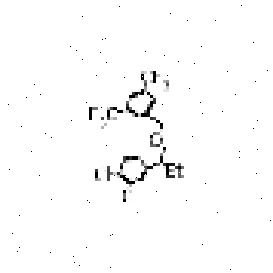 CC[C@H](COCc1cc(C(F)(F)F)cc(C(F)(F)F)c1)c1ccc(Cl)c(Cl)c1